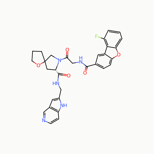 O=C(NCC(=O)N1CC2(CCCO2)C[C@H]1C(=O)NCc1cc2cnccc2[nH]1)c1ccc2oc3cccc(F)c3c2c1